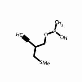 C#CC(COP(C)O)CSC